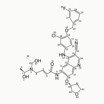 C[C@H](O)N(C/C=C/C(=O)Nc1cc2c(Nc3ccc(OCc4cccc(F)c4)c(Cl)c3)c(C#N)cnc2cc1O[C@H]1CCOC1)[C@H](C)O